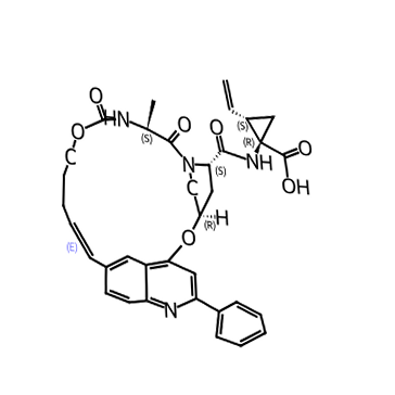 C=C[C@@H]1C[C@]1(NC(=O)[C@@H]1C[C@@H]2CN1C(=O)[C@H](C)NC(=O)OCCC/C=C/c1ccc3nc(-c4ccccc4)cc(c3c1)O2)C(=O)O